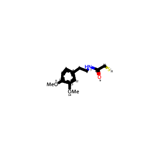 COc1ccc(CCNC(=O)C[S])cc1OC